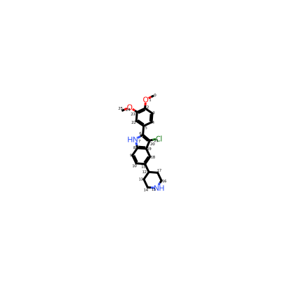 COc1ccc(-c2[nH]c3ccc(C4CCNCC4)cc3c2Cl)cc1OC